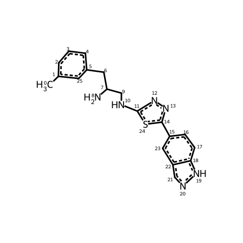 Cc1cccc(CC(N)CNc2nnc(-c3ccc4[nH]ncc4c3)s2)c1